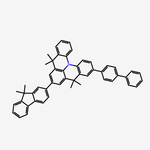 CC1(C)c2ccccc2-c2ccc(-c3cc4c5c(c3)C(C)(C)c3cc(-c6ccc(-c7ccccc7)cc6)ccc3N5c3ccccc3C4(C)C)cc21